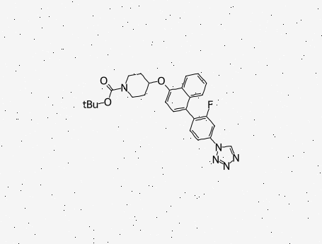 CC(C)(C)OC(=O)N1CCC(Oc2ccc(-c3ccc(-n4cnnn4)cc3F)c3ccccc23)CC1